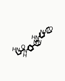 O=C(Nc1ccc(-c2ccnc(Nc3ccc(N4CCOCC4)nc3)n2)cc1)C1CCCN1